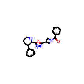 O=C(c1ccccc1)N1CC(c2nnc(C3NCCCC3c3ccccc3)o2)C1